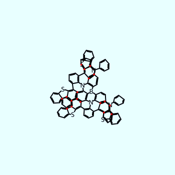 c1ccc(-c2cc3c4c(c2)N(c2c(-c5cccc6c5sc5ccccc56)cccc2-c2cccc5c2sc2ccccc25)c2cc(N(c5ccccc5)c5ccccc5)ccc2B4c2ccc(N(c4ccccc4)c4ccccc4)cc2N3c2c(-c3cccc4c3sc3ccccc34)cccc2-c2cccc3c2sc2ccccc23)cc1